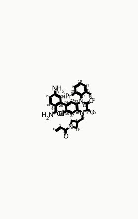 C=CC(=O)N1CC(Cn2c(=O)c(=O)n(-c3c(C)cccc3C(C)C)c3cc(-c4cc(N)ccc4C(N)=O)c(Cl)cc32)C1